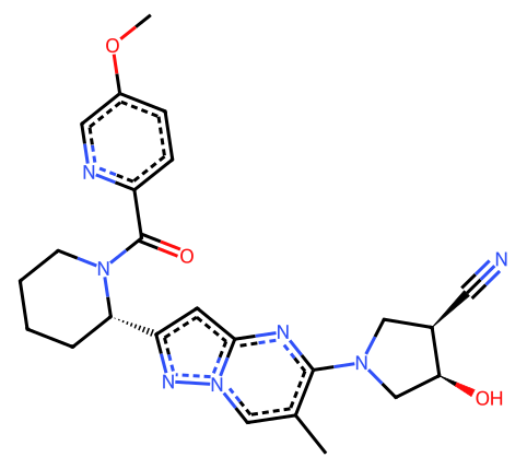 COc1ccc(C(=O)N2CCCC[C@H]2c2cc3nc(N4C[C@@H](C#N)[C@@H](O)C4)c(C)cn3n2)nc1